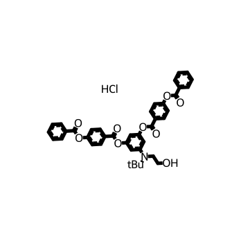 CC(C)(C)N(CCO)c1cc(OC(=O)c2ccc(OC(=O)c3ccccc3)cc2)cc(OC(=O)c2ccc(OC(=O)c3ccccc3)cc2)c1.Cl